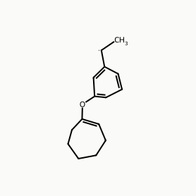 C[CH]c1cccc(OC2=CCCCCC2)c1